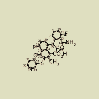 Cc1c(C(=O)O)c2c([C@@H](c3cccc(F)c3C(N)=O)C3CC3)ccc(F)c2c(=O)n1Cc1cccnc1